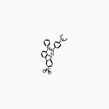 CCN(CC)c1ccc(NN(c2ccccc2)c2cccc3c2Cc2ccc([N+](=O)[O-])cc2-3)cc1